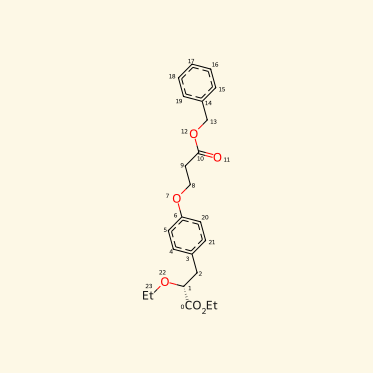 CCOC(=O)[C@@H](Cc1ccc(OCCC(=O)OCc2ccccc2)cc1)OCC